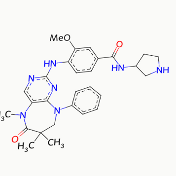 COc1cc(C(=O)NC2CCNC2)ccc1Nc1ncc2c(n1)N(c1ccccc1)CC(C)(C)C(=O)N2C